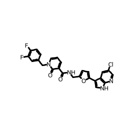 O=C(NCc1ccc(-c2c[nH]c3ncc(Cl)cc23)o1)c1cccn(Cc2ccc(F)c(F)c2)c1=O